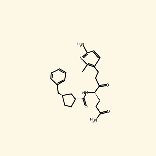 Cc1nc(N)ccc1CCC(=O)[C@H](CCC(N)=O)NC(=O)[C@@H]1CC[C@@H](Cc2ccccc2)C1